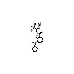 C=C(NC(SCl)C(C)(F)F)c1ccc(C)c(N(C)C2CCCC2)n1